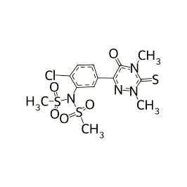 Cn1nc(-c2ccc(Cl)c(N(S(C)(=O)=O)S(C)(=O)=O)c2)c(=O)n(C)c1=S